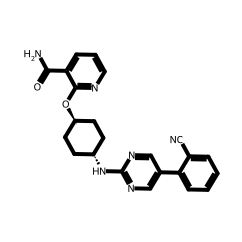 N#Cc1ccccc1-c1cnc(N[C@H]2CC[C@H](Oc3ncccc3C(N)=O)CC2)nc1